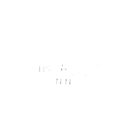 SC1=NN=C(c2ccccc2)[N]1